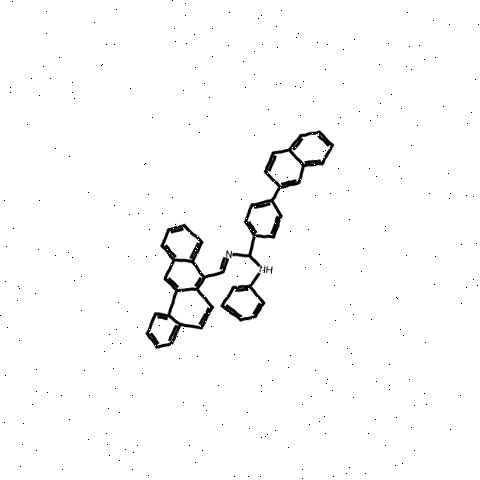 C(=N\C(Nc1ccccc1)c1ccc(-c2ccc3ccccc3c2)cc1)/c1c2ccccc2cc2c1ccc1ccccc12